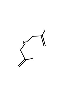 C=C(C)[CH2][Ni][CH2]C(=C)C